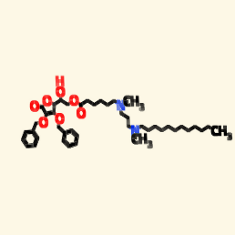 CCCCCCCCCCCCN(C)CCCN(C)CCCCCC(=O)OCC(O)C1OC(=O)C(OCc2ccccc2)=C1OCc1ccccc1